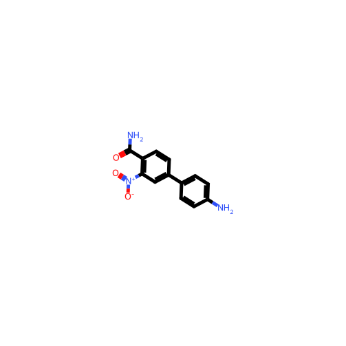 NC(=O)c1ccc(-c2ccc(N)cc2)cc1[N+](=O)[O-]